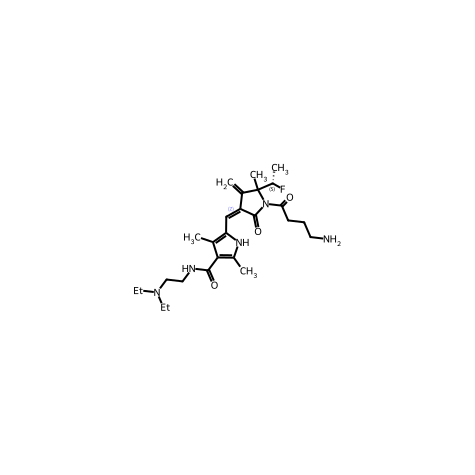 C=C1/C(=C/c2[nH]c(C)c(C(=O)NCCN(CC)CC)c2C)C(=O)N(C(=O)CCCN)C1(C)[C@H](C)F